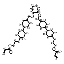 C=CC(=O)OCCCC1CCC(C2CCC(COC3OCCOC3OCC3CCC(C4CCC(CCCOC(=O)C=C)CC4)CC3)CC2)CC1